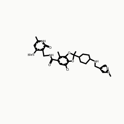 CSc1cc(C)[nH]c(=O)c1CNC(=O)c1cc(Cl)c2c(c1C)OC(C)(C1CCC(NCc3cnn(C)c3)CC1)O2